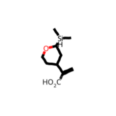 C=C(C(=O)O)C1CCOC([SiH](C)C)C1